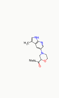 CNC(=O)C1CN(c2cnc3[nH]cc(C)c3c2)CCO1